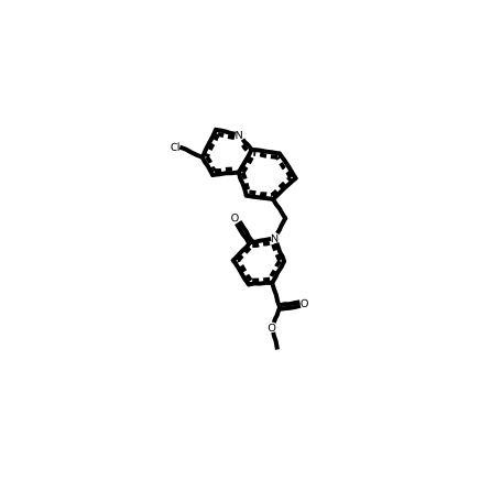 COC(=O)c1ccc(=O)n(Cc2ccc3ncc(Cl)cc3c2)c1